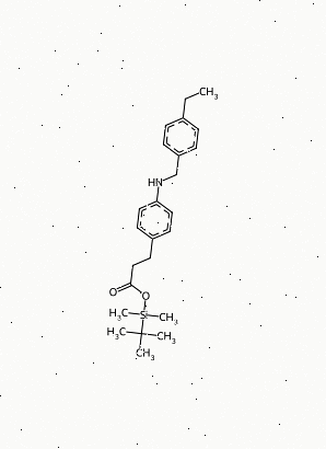 CCc1ccc(CNc2ccc(CCC(=O)O[Si](C)(C)C(C)(C)C)cc2)cc1